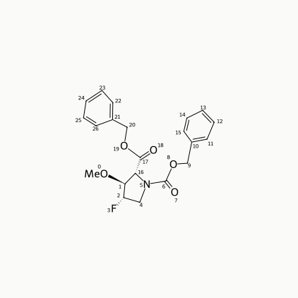 CO[C@@H]1[C@@H](F)CN(C(=O)OCc2ccccc2)[C@H]1C(=O)OCc1ccccc1